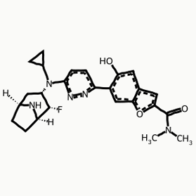 CN(C)C(=O)c1cc2cc(O)c(-c3ccc(N(C4CC4)[C@H]4C[C@@H]5CC[C@@H](N5)[C@H]4F)nn3)cc2o1